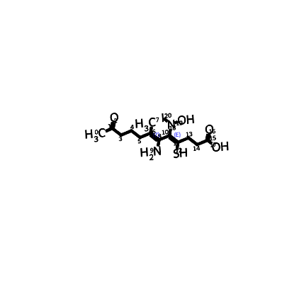 CC(=O)CCC/C(C)=C(N)/C(=C(\S)CCC(=O)O)N(O)I